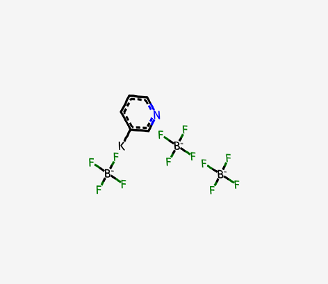 F[B-](F)(F)F.F[B-](F)(F)F.F[B-](F)(F)F.[K][c]1cccnc1